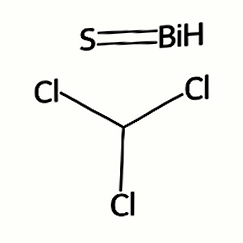 ClC(Cl)Cl.[S]=[BiH]